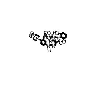 CN(Cc1cc(Nc2ncc3c(n2)N(C)CN(c2c(Cl)cccc2Cl)C3=O)ccc1N1CCS(=O)(=O)CC1)C(=O)O